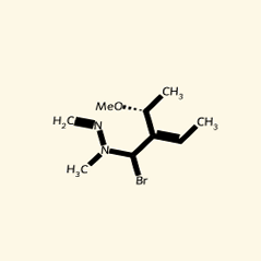 C=NN(C)C(Br)/C(=C/C)[C@@H](C)OC